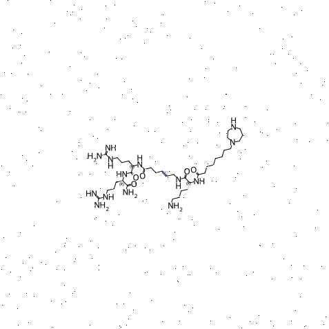 N=C(N)NCCC[C@@H](NC(=O)[C@@H](CCCNC(=N)N)NC(=O)CC/C=C/CNC(=O)[C@@H](CCCCN)NC(=O)CCCCCCCN1CCCNCC1)C(N)=O